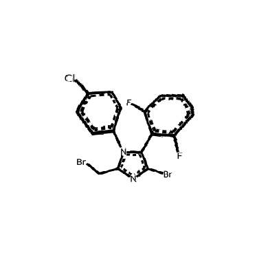 Fc1cccc(F)c1-c1c(Br)nc(CBr)n1-c1ccc(Cl)cc1